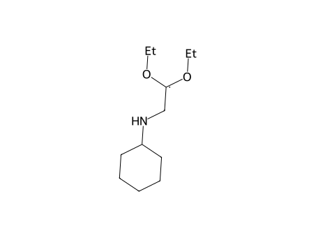 CCO[C](CNC1CCCCC1)OCC